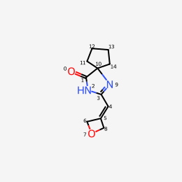 O=C1NC(C=C2COC2)=NC12CCCC2